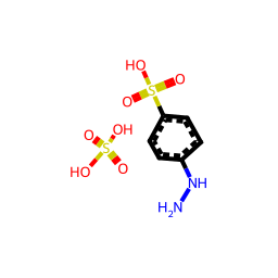 NNc1ccc(S(=O)(=O)O)cc1.O=S(=O)(O)O